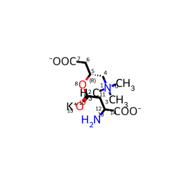 C[N+](C)(C)C[C@@H](CC(=O)[O-])OC(=O)CC(N)C(=O)[O-].[K+]